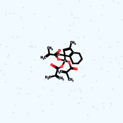 C=C(C)C(=O)[O][Ti]([O]C(=O)C(=C)C)([O]C(=O)C(=C)C)[C]1(C)C=C(C)C2=C1CCCC2